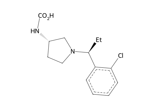 CC[C@@H](c1ccccc1Cl)N1CC[C@H](NC(=O)O)C1